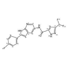 O=C(Nc1cnc2[nH]c(-c3ccc(F)cc3)cc2c1)c1cc(C(F)F)n[nH]1